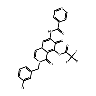 O=C(Nc1cn2ccn(Cc3cccc(Cl)c3)c(=O)c2c(OC(=O)C(F)(F)F)c1=O)c1ccncc1